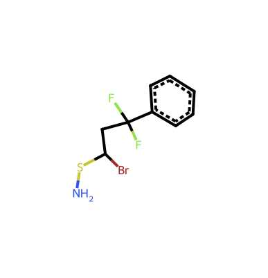 NSC(Br)CC(F)(F)c1ccccc1